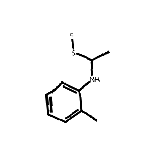 Cc1ccccc1NC(C)SF